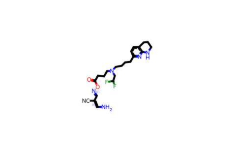 N#CC(/C=N/OC(=O)CCCN(CCCCc1ccc2c(n1)NCCC2)CC(F)F)=C/N